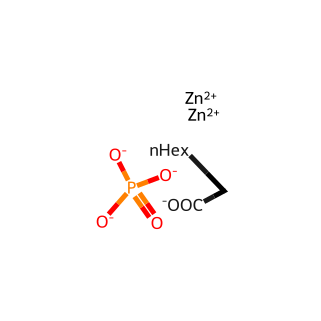 CCCCCCCC(=O)[O-].O=P([O-])([O-])[O-].[Zn+2].[Zn+2]